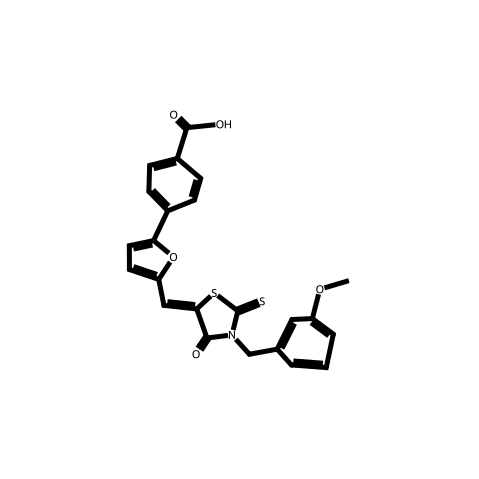 COc1cccc(CN2C(=O)/C(=C/c3ccc(-c4ccc(C(=O)O)cc4)o3)SC2=S)c1